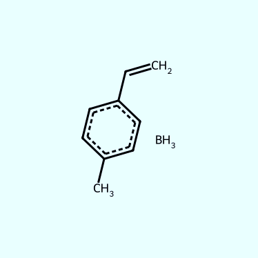 B.C=Cc1ccc(C)cc1